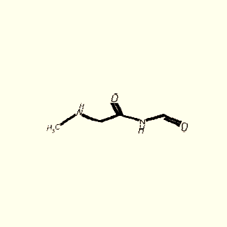 CNCC(=O)NC=O